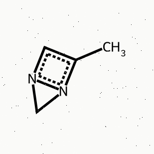 Cc1cn2n1C2